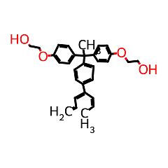 C=C/C=C(\C=C/C)c1ccc(C(C)(c2ccc(OCCO)cc2)c2ccc(OCCO)cc2)cc1